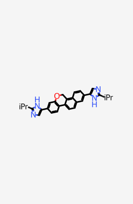 CC(C)c1ncc(-c2ccc3c(c2)OCc2c-3ccc3cc(-c4cnc(C(C)C)[nH]4)ccc23)[nH]1